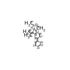 C=C(I)CC1C(=C)C2=C(CC(C3C=CC=CC3)C=C2)C1(C)C